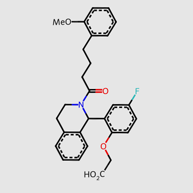 COc1ccccc1CCCC(=O)N1CCc2ccccc2C1c1cc(F)ccc1OCC(=O)O